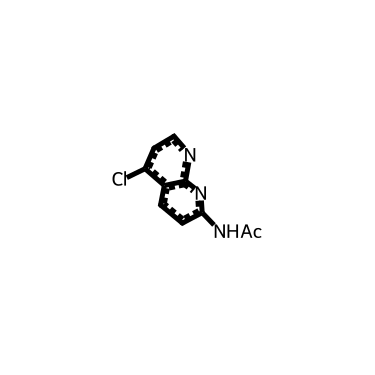 CC(=O)Nc1ccc2c(Cl)ccnc2n1